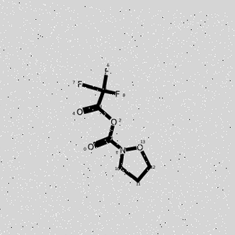 O=C(OC(=O)C(F)(F)F)N1CCCO1